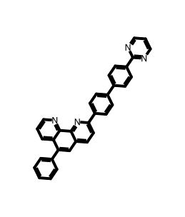 c1ccc(-c2cc3ccc(-c4ccc(-c5ccc(-c6ncccn6)cc5)cc4)nc3c3ncccc23)cc1